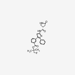 CC(C)(CF)OC(=O)c1cccc(-c2cc(NC(=O)[C@@H]3CNC(=O)C3)nn2-c2ccccc2)c1